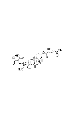 C[C@H](CCC(C(=O)O)C(=O)O)C1CC[C@H]2[C@@H]3CC[C@@H]4C[C@H](OC(=O)[C@H](N)CCC(=O)O)CC[C@]4(C)[C@H]3CC[C@]12C